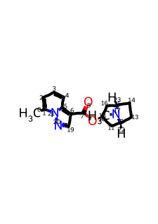 Cc1cccc2c(C(=O)O[C@H]3C[C@H]4CC[C@@H](C3)N4C)cnn12